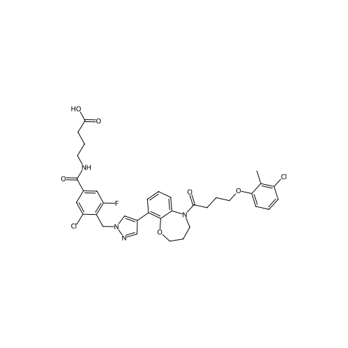 Cc1c(Cl)cccc1OCCCC(=O)N1CCCOc2c(-c3cnn(Cc4c(F)cc(C(=O)NCCCC(=O)O)cc4Cl)c3)cccc21